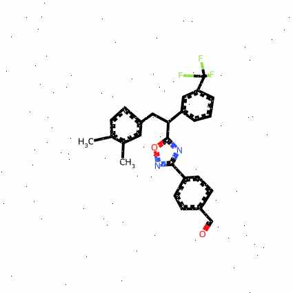 Cc1ccc(CC(c2cccc(C(F)(F)F)c2)c2nc(-c3ccc(C=O)cc3)no2)cc1C